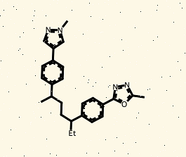 CCC(CCC(C)c1ccc(-c2cnn(C)c2)cc1)c1ccc(-c2nnc(C)o2)cc1